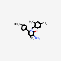 Cc1ccc(Cn2c(-c3ccc(C(=O)O)cc3)cc(C(F)(F)F)c(N)c2=O)c(C)c1